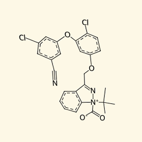 CC(C)(C)[N+]1(C(=O)[O-])N=C(COc2ccc(Cl)c(Oc3cc(Cl)cc(C#N)c3)c2)c2ccccc21